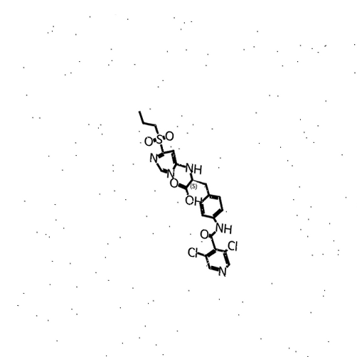 CCCS(=O)(=O)c1cc(N[C@@H](Cc2ccc(NC(=O)c3c(Cl)cncc3Cl)cc2)C(=O)O)ncn1